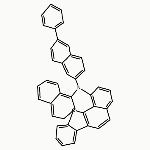 C1=c2ccccc2=C(N(c2ccc3cc(-c4ccccc4)ccc3c2)c2cccc3ccc4c5ccccc5oc4c23)CC1